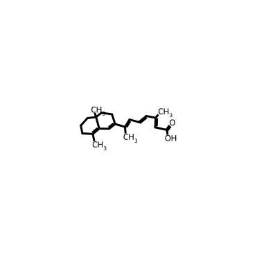 CC(C=CC=C(C)C1=CC2=C(C)CCCC2(C)CC1)=CC(=O)O